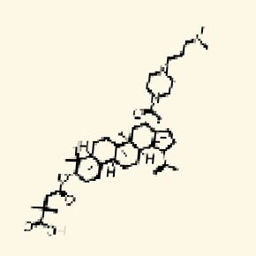 C=C(C)[C@@H]1CC[C@]2(CC(=O)N3CCN(CCCN(C)C)CC3)CC[C@]3(C)[C@H](CC[C@@H]4[C@@]5(C)CC[C@H](OC(=O)CC(C)(C)C(=O)O)C(C)(C)[C@@H]5CC[C@]43C)[C@@H]12